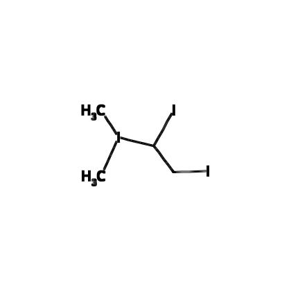 CI(C)C(I)CI